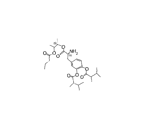 CCCC(=O)OC(C)[C@H](C)OC(=O)[C@@H](N)Cc1ccc(OC(=O)C(C)C(C)C)c(OC(=O)C(C)C(C)C)c1